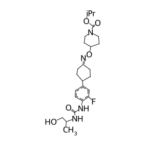 CC(CO)NC(=O)Nc1ccc(C2CCC(=NOC3CCN(C(=O)OC(C)C)CC3)CC2)cc1F